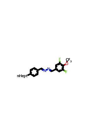 CCCCCCCc1ccc(C=NN=Cc2cc(F)c(OC(F)(F)F)c(F)c2)cc1